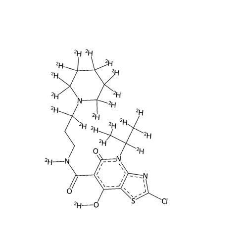 [2H]Oc1c(C(=O)N([2H])CCC([2H])([2H])N2C([2H])([2H])C([2H])([2H])C([2H])([2H])C([2H])([2H])C2([2H])[2H])c(=O)n(C([2H])(C([2H])([2H])[2H])C([2H])([2H])[2H])c2nc(Cl)sc12